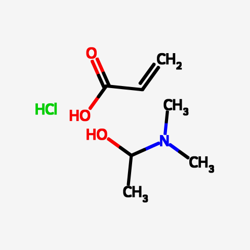 C=CC(=O)O.CC(O)N(C)C.Cl